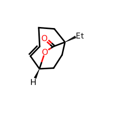 CC[C@@]12CC/C=C/[C@@H](CC1)OC2=O